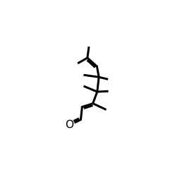 CC(C)=CC(C)(C)C(C)(C)C(C)=CC=O